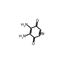 Br.NC1=C(N)C(=O)C=CC1=O